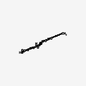 CCCCCCCCCCCCOCCOCCOCCOc1ccc(OCC(=O)NCCOCCOCCOCCOCC(=O)O)cc1